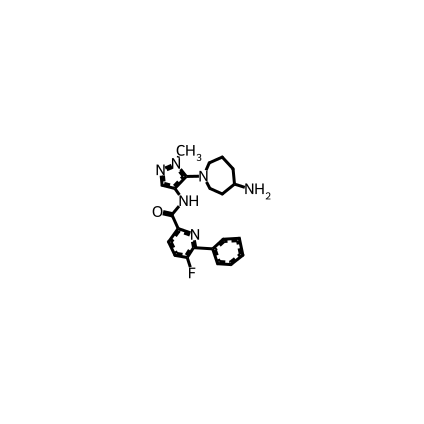 Cn1ncc(NC(=O)c2ccc(F)c(-c3ccccc3)n2)c1N1CCCC(N)CC1